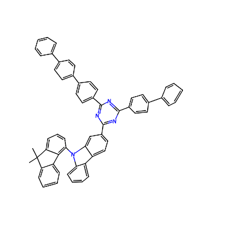 CC1(C)c2ccccc2-c2c(-n3c4ccccc4c4ccc(-c5nc(-c6ccc(-c7ccccc7)cc6)nc(-c6ccc(-c7ccc(-c8ccccc8)cc7)cc6)n5)cc43)cccc21